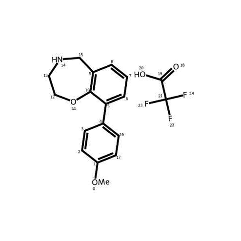 COc1ccc(-c2cccc3c2OCCNC3)cc1.O=C(O)C(F)(F)F